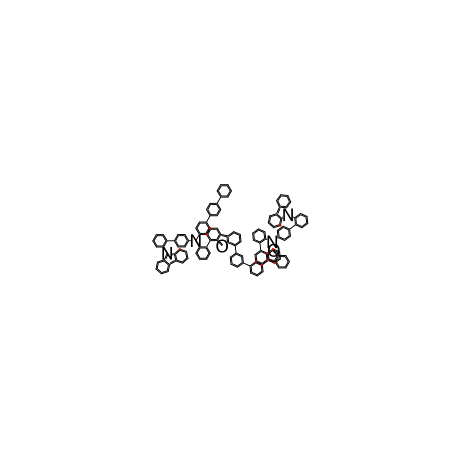 c1ccc(-c2ccc(-c3ccc(N(c4ccc(-c5ccccc5-n5c6ccccc6c6ccccc65)cc4)c4ccccc4-c4cccc5c4oc4c(-c6cccc(-c7cccc(-c8cccc(N(c9ccc(-c%10ccccc%10-n%10c%11ccccc%11c%11ccccc%11%10)cc9)c9ccccc9-c9cccc%10c9oc9ccccc9%10)c8)c7)c6)cccc45)cc3)cc2)cc1